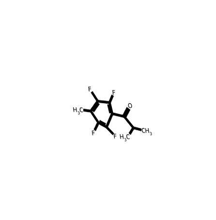 Cc1c(F)c(F)c(C(=O)C(C)C)c(F)c1F